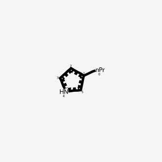 CCCc1c[c][nH]c1